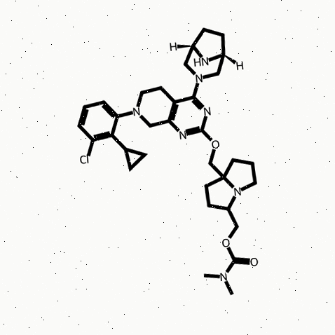 CN(C)C(=O)OCC1CCC2(COc3nc4c(c(N5C[C@H]6CC[C@@H](C5)N6)n3)CCN(c3cccc(Cl)c3C3CC3)C4)CCCN12